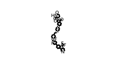 O=C1CCC(N2C(=O)c3ccc(N4CCN(CCC5CCN(Cc6ncc(-c7ccc8c9cnccc9n(C(F)F)c8c7)cc6F)CC5)CC4)cc3C2=O)C(=O)N1